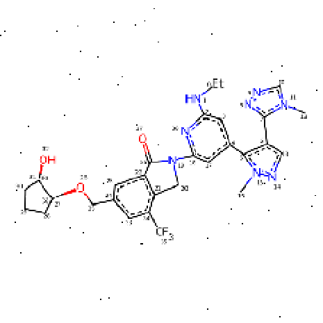 CCNc1cc(-c2c(-c3nncn3C)cnn2C)cc(N2Cc3c(cc(CO[C@H]4CCC[C@H]4O)cc3C(F)(F)F)C2=O)n1